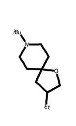 CCC1COC2(CCN(C(C)CC)CC2)C1